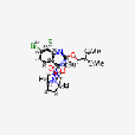 COC(COc1nc(N2C[C@H]3CC[C@@H](C2)N3C(=O)OC(C)(C)C)c2ccc(Br)c(F)c2n1)OC